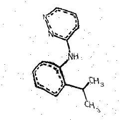 CC(C)c1ccccc1Nc1cccnn1